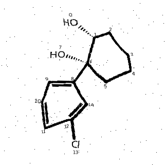 O[C@@H]1CCCC[C@@]1(O)c1cccc(Cl)c1